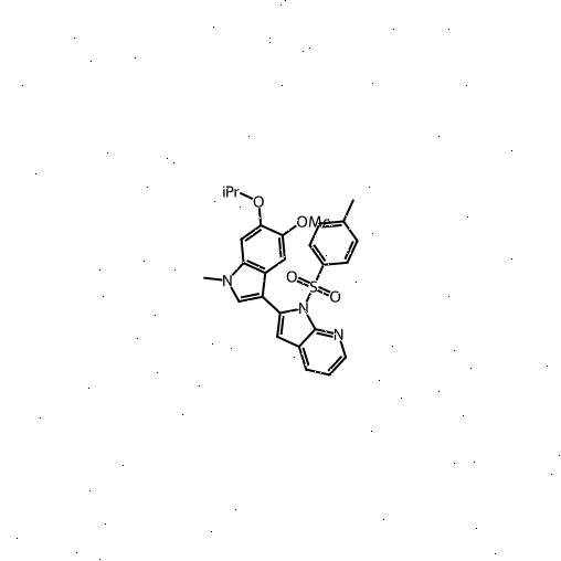 COc1cc2c(-c3cc4cccnc4n3S(=O)(=O)c3ccc(C)cc3)cn(C)c2cc1OC(C)C